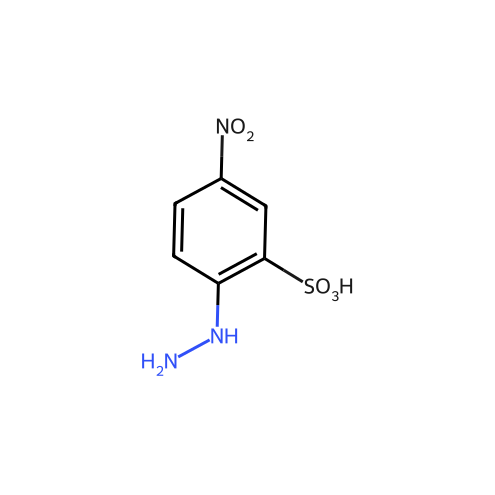 NNc1ccc([N+](=O)[O-])cc1S(=O)(=O)O